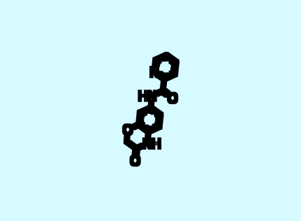 O=C1COc2cc(NC(=O)c3ccccn3)ccc2N1